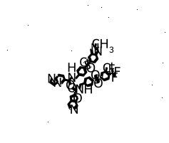 Cn1cc2cc(S(=O)(=O)c3ccc(CNC(=O)c4ccc5nccn5c4)cc3)ccc2n1.O=C(NCc1ccc(S(=O)(=O)c2ccc(C(F)(F)F)c(Cl)c2)cc1)c1cc2ccncc2o1